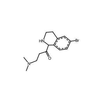 CN(C)CCC(=O)C1NCCc2cc(Br)ccc21